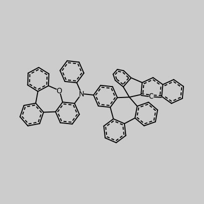 c1ccc(N(c2ccc3c(c2)-c2ccccc2-c2ccccc2C32c3ccccc3-c3cc4ccccc4cc32)c2cccc3c2Oc2ccccc2-c2ccccc2-3)cc1